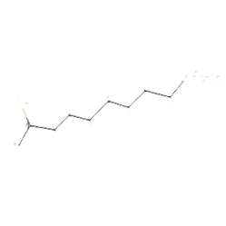 CCCCCCCCCCCCC(C)F